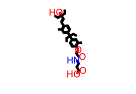 CCC(O)(C=Cc1ccc(C(CC)(CC)c2ccc(OCC(=O)NCCC(=O)O)c(C)c2)cc1C)CC